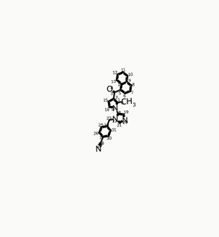 Cc1c(C(=O)c2cccc3ccccc23)ccn1-c1cncn1Cc1ccc(C#N)cc1